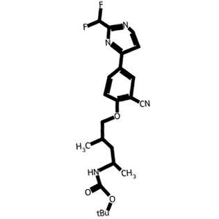 CC(COc1ccc(-c2ccnc(C(F)F)n2)cc1C#N)CC(C)NC(=O)OC(C)(C)C